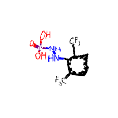 O=P(O)(O)NNc1c(C(F)(F)F)cccc1C(F)(F)F